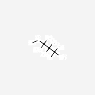 CC(N)(Cl)C(C)(C)C(C)(C)NCl